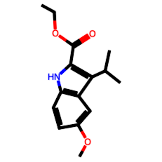 CCOC(=O)c1[nH]c2ccc(OC)cc2c1C(C)C